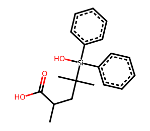 CC(CC(C)(C)[Si](O)(c1ccccc1)c1ccccc1)C(=O)O